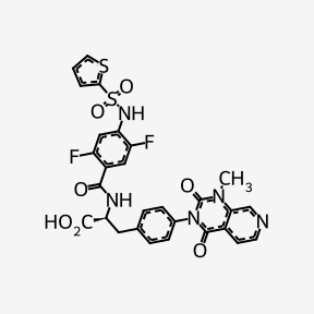 Cn1c(=O)n(-c2ccc(C[C@H](NC(=O)c3cc(F)c(NS(=O)(=O)c4cccs4)cc3F)C(=O)O)cc2)c(=O)c2ccncc21